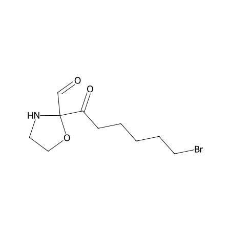 O=CC1(C(=O)CCCCCBr)NCCO1